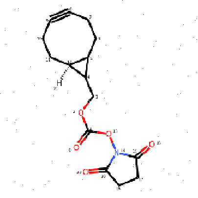 O=C(OCC1C2CCC#CCC[C@@H]21)ON1C(=O)CCC1=O